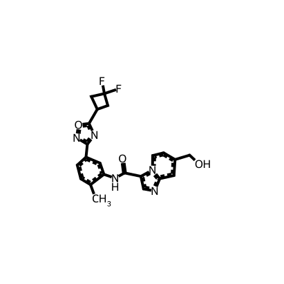 Cc1ccc(-c2noc(C3CC(F)(F)C3)n2)cc1NC(=O)c1cnc2cc(CO)ccn12